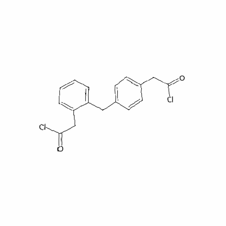 O=C(Cl)Cc1ccc(Cc2ccccc2CC(=O)Cl)cc1